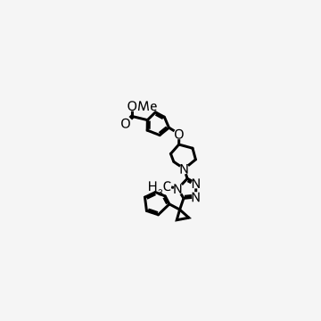 COC(=O)c1ccc(OC2CCN(c3nnc(C4(c5ccccc5)CC4)n3C)CC2)cc1